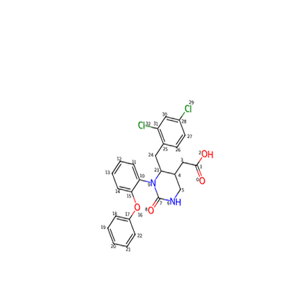 O=C(O)CC1CNC(=O)N(c2ccccc2Oc2ccccc2)C1Cc1ccc(Cl)cc1Cl